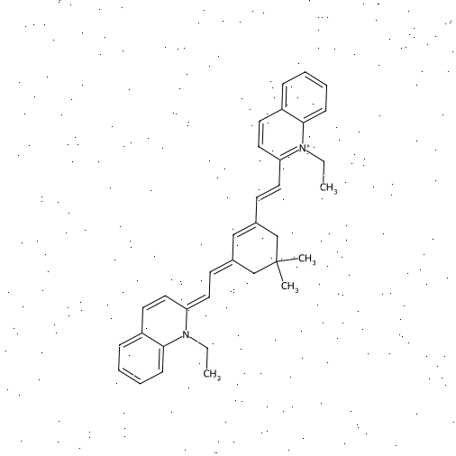 CCN1/C(=C/C=C2C=C(/C=C/c3ccc4ccccc4[n+]3CC)CC(C)(C)C/2)C=Cc2ccccc21